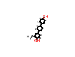 Cc1cc(C2=CCC(c3ccc(O)cc3)CC2)ccc1O